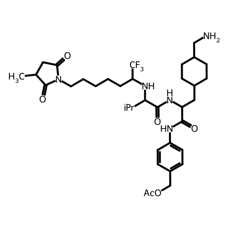 CC(=O)OCc1ccc(NC(=O)C(CC2CCC(CN)CC2)NC(=O)C(NC(CCCCCN2C(=O)CC(C)C2=O)C(F)(F)F)C(C)C)cc1